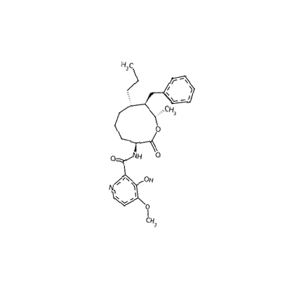 CCC[C@H]1CCC[C@H](NC(=O)c2nccc(OC)c2O)C(=O)O[C@@H](C)[C@@H]1Cc1ccccc1